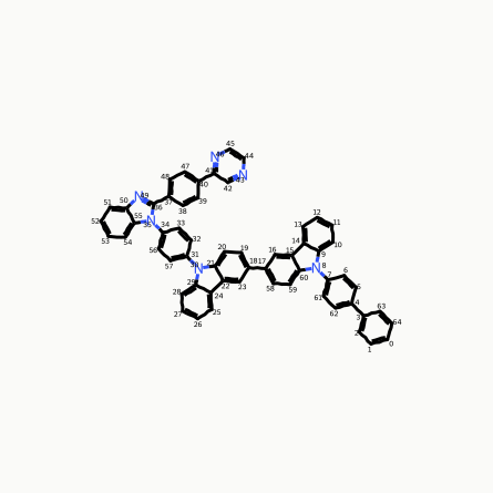 c1ccc(-c2ccc(-n3c4ccccc4c4cc(-c5ccc6c(c5)c5ccccc5n6-c5ccc(-n6c(-c7ccc(-c8cnccn8)cc7)nc7ccccc76)cc5)ccc43)cc2)cc1